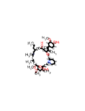 C=CCC1/C=C(/C)CC(C)CC(OC)C2OC(O)(CCN3CCCCC3COC(C(C)=CC3CCC(O)C(OC)C3)C(C)C(O)CC1)C(C)CC2OC